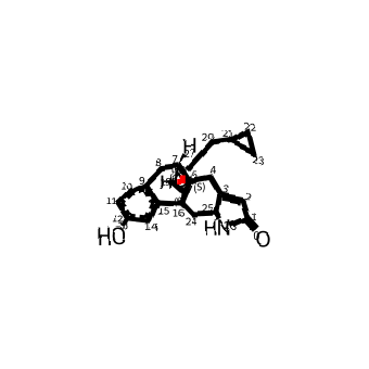 O=C1C=C2C[C@@]3(O)[C@H]4Cc5ccc(O)cc5[C@@]3(CCN4CC3CC3)CC2N1